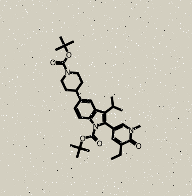 CCc1cc(-c2c(C(C)C)c3cc(C4CCN(C(=O)OC(C)(C)C)CC4)ccc3n2C(=O)OC(C)(C)C)cn(C)c1=O